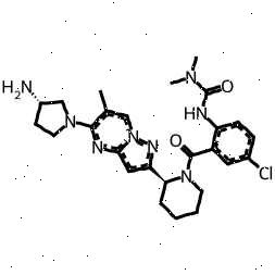 Cc1cn2nc([C@@H]3CCCCN3C(=O)c3cc(Cl)ccc3NC(=O)N(C)C)cc2nc1N1CC[C@H](N)C1